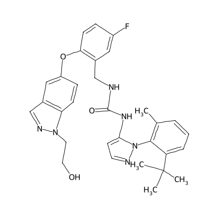 Cc1cccc(C(C)(C)C)c1-n1nccc1NC(=O)NCc1cc(F)ccc1Oc1ccc2c(cnn2CCO)c1